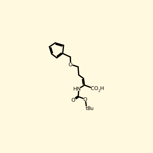 CC(C)(C)OC(=O)NC(=CCCOCc1ccccc1)C(=O)O